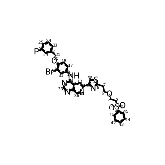 O=S(=O)(CCOCCc1nc(-c2cc3c(Nc4ccc(OCc5cccc(F)c5)c(Br)c4)ncnc3cn2)cs1)c1ccccc1